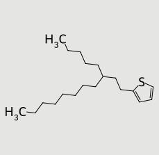 CCCCCCCCC(CCCCC)CCc1cccs1